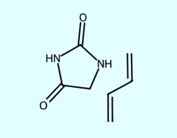 C=CC=C.O=C1CNC(=O)N1